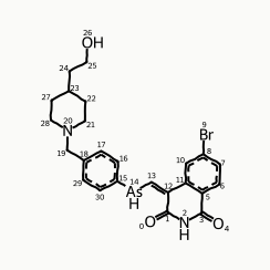 O=C1NC(=O)c2ccc(Br)cc2C1=C[AsH]c1ccc(CN2CCC(CCO)CC2)cc1